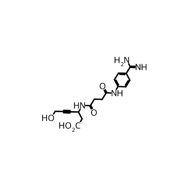 N=C(N)c1ccc(NC(=O)CCC(=O)NC(C#CCO)CC(=O)O)cc1